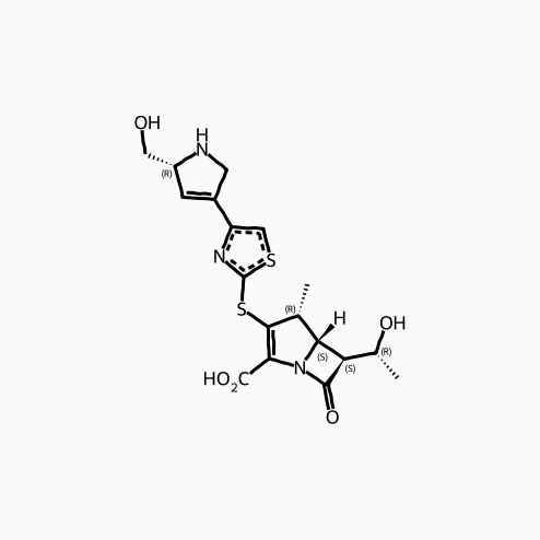 C[C@@H](O)[C@H]1C(=O)N2C(C(=O)O)=C(Sc3nc(C4=C[C@H](CO)NC4)cs3)[C@H](C)[C@H]12